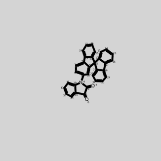 O=C1C(=O)N(c2ccc3c(c2)C2(c4ccccc4-c4ccccc42)c2ccccc2-3)c2ccccc21